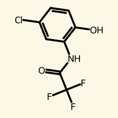 O=C(Nc1cc(Cl)ccc1O)C(F)(F)F